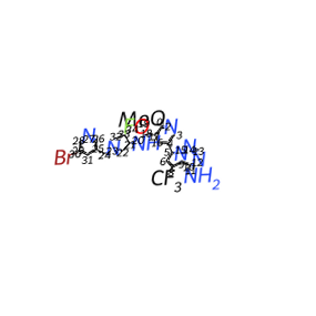 COc1ncc(-c2cc(C(F)(F)F)c3c(N)ncnn23)cc1C(=O)NC1CN(Cc2cncc(Br)c2)CC1F